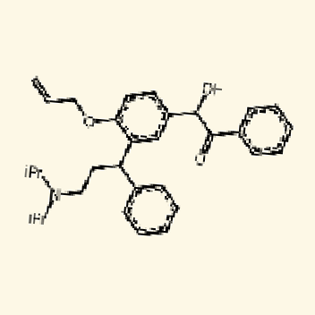 C=CCOc1ccc([C@@H](O)C(=O)c2ccccc2)cc1C(CCN(C(C)C)C(C)C)c1ccccc1